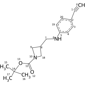 C#Cc1ccc(NCC2CN(C(=O)OC(C)(C)C)C2)cc1